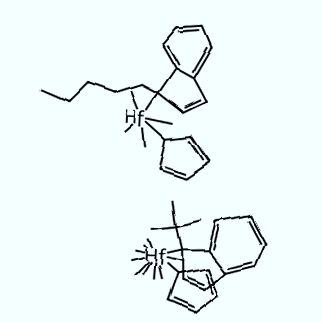 CC(C)(C)[C]1([Hf]([CH3])([CH3])([CH3])([CH3])([CH3])([CH3])([CH3])([CH3])([CH3])[CH]2C=CC=C2)C=Cc2ccccc21.CCCCC[C]1([Hf]([CH3])([CH3])([CH3])([CH3])([CH3])[CH]2C=CC=C2)C=Cc2ccccc21